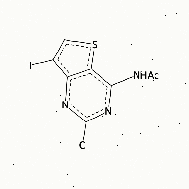 CC(=O)Nc1nc(Cl)nc2c(I)csc12